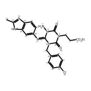 CCOC(=O)CCn1c(=O)n(N)/c(=N\c2ccc3nc(C)[nH]c3c2)n(Cc2ccc(Cl)cc2)c1=O